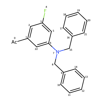 CC(=O)c1cc(F)cc(N(Cc2ccccc2)Cc2ccccc2)c1